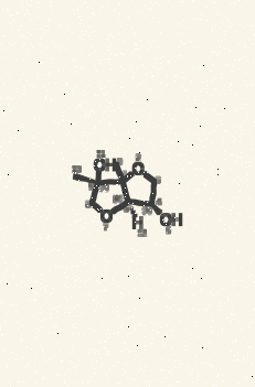 CC12OC[C@@H](O)[C@H]1OC[C@]2(C)O